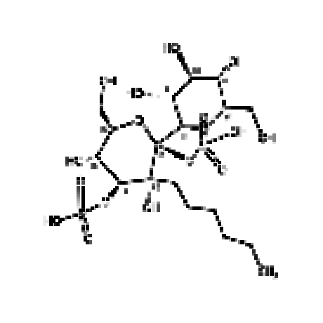 CCCCCC[C@@]1(O)[C@@H](OS(=O)(=O)O)[C@H](O)[C@@H](CO)O[C@]1(OS(=O)(=O)O)[C@@H]1O[C@H](CO)[C@@H](O)[C@H](O)[C@H]1O